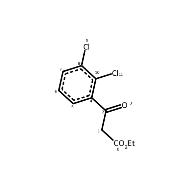 CCOC(=O)CC(=O)c1cccc(Cl)c1Cl